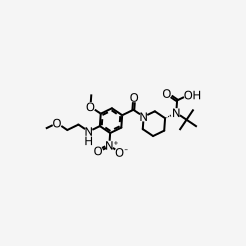 COCCNc1c(OC)cc(C(=O)N2CCC[C@@H](N(C(=O)O)C(C)(C)C)C2)cc1[N+](=O)[O-]